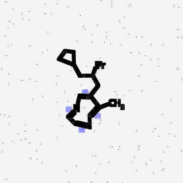 CC1=C\C=C/C=N/C=C\1CC(CC1CCC1)C(C)C